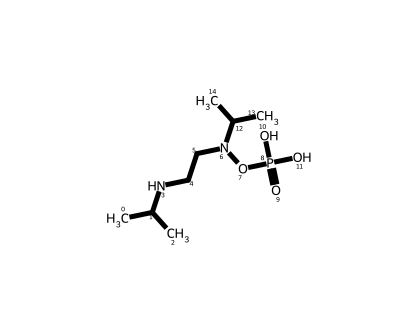 CC(C)NCCN(OP(=O)(O)O)C(C)C